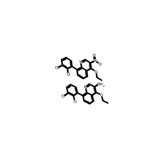 CCOc1c(N)cnc2c(-c3cccc(Cl)c3Cl)cccc12.CCOc1c([N+](=O)[O-])cnc2c(-c3cccc(Cl)c3Cl)cccc12